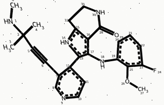 CNC(C)(C)C#Cc1cnccc1-c1[nH]c2c(c1Nc1cccc(F)c1OC)C(=O)NCC2